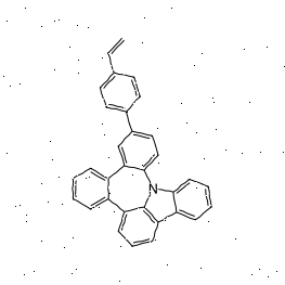 C=Cc1ccc(-c2ccc3c(c2)-c2ccccc2-c2cccc4c5ccccc5n-3c24)cc1